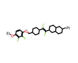 CCCC1CCC2CC(/C(F)=C(\F)C3CCC(COc4ccc(OCC)c(F)c4F)CC3)CCC2C1